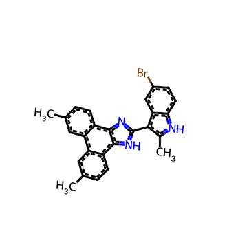 Cc1ccc2c(c1)c1cc(C)ccc1c1[nH]c(-c3c(C)[nH]c4ccc(Br)cc34)nc21